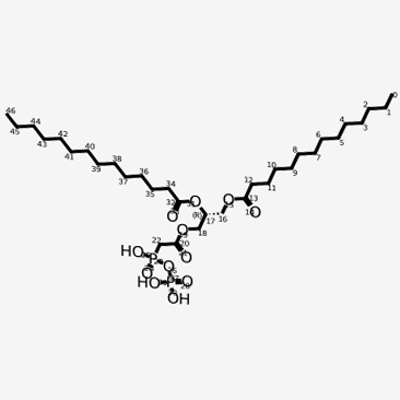 CCCCCCCCCCCCCC(=O)OC[C@H](COC(=O)CP(=O)(O)OP(=O)(O)O)OC(=O)CCCCCCCCCCCCC